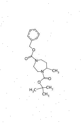 CC1CCN(C(=O)OCc2ccccc2)CCN1C(=O)OC(C)(C)C